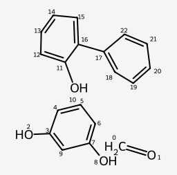 C=O.Oc1cccc(O)c1.Oc1ccccc1-c1ccccc1